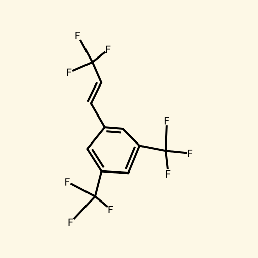 FC(F)(F)C=Cc1cc(C(F)(F)F)cc(C(F)(F)F)c1